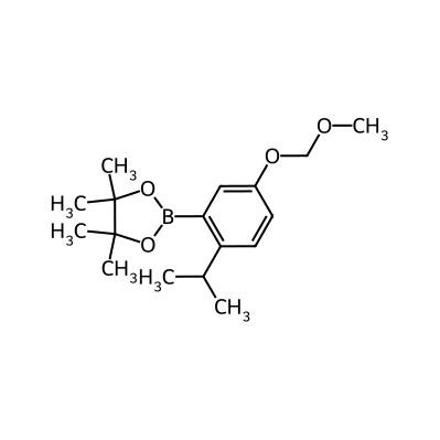 COCOc1ccc(C(C)C)c(B2OC(C)(C)C(C)(C)O2)c1